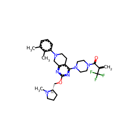 C=C(C(=O)N1CCN(c2nc(OC[C@@H]3CCCN3C)nc3c2CCN(c2cccc(C)c2C)C3)CC1)C(F)(F)F